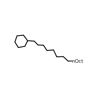 CCCCCCCCCCCCCCCC[C]1CCCCC1